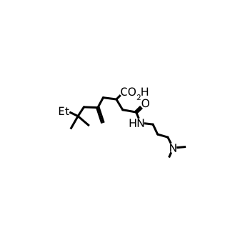 C=C(CC(CC(=O)NCCCN(C)C)C(=O)O)CC(C)(C)CC